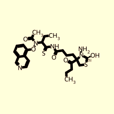 CCCC(=O)C1(CCCC(=O)NC(=S)C(CC)N(Oc2cccc3cnccc23)C(C)=O)CS[C@H](O)N1N